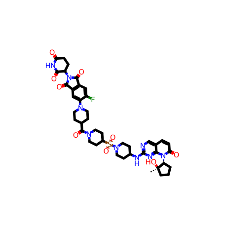 C[C@@]1(O)CCC[C@H]1n1c(=O)ccc2cnc(NC3CCN(S(=O)(=O)C4CCN(C(=O)C5CCN(c6cc7c(cc6F)C(=O)N(C6CCC(=O)NC6=O)C7=O)CC5)CC4)CC3)nc21